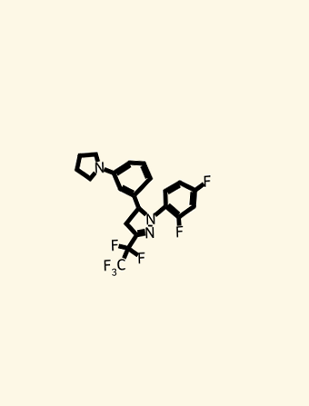 Fc1ccc(N2N=C(C(F)(F)C(F)(F)F)CC2c2cccc(N3CCCC3)c2)c(F)c1